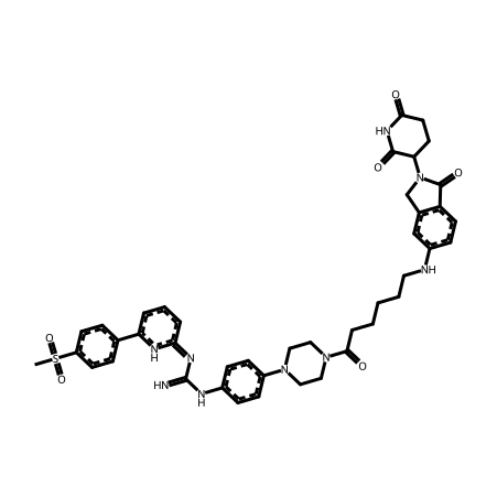 CS(=O)(=O)c1ccc(-c2ccc/c(=N/C(=N)Nc3ccc(N4CCN(C(=O)CCCCCNc5ccc6c(c5)CN(C5CCC(=O)NC5=O)C6=O)CC4)cc3)[nH]2)cc1